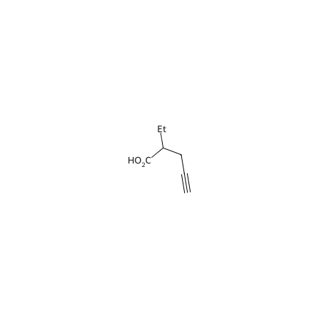 C#CCC(CC)C(=O)O